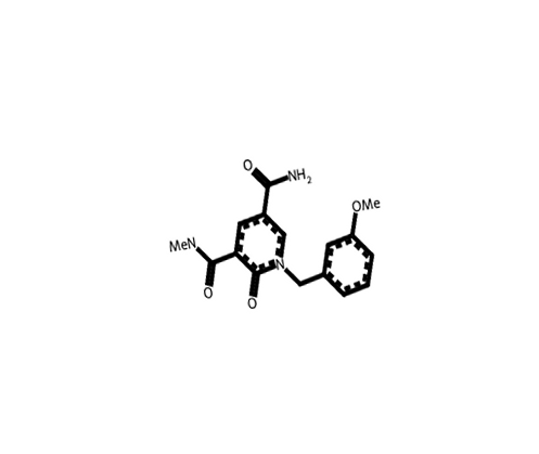 CNC(=O)c1cc(C(N)=O)cn(Cc2cccc(OC)c2)c1=O